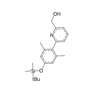 Cc1cc(O[Si](C)(C)C(C)(C)C)cc(C)c1-c1cccc(CO)n1